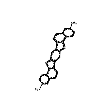 Cc1ccc2c(ccc3c4cc5sc6c7ccc(C)cc7ccc6c5cc4sc23)c1